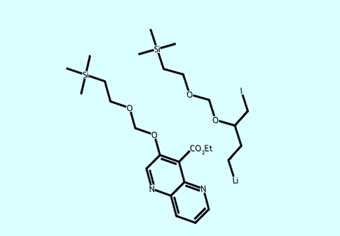 CCOC(=O)c1c(OCOCC[Si](C)(C)C)cnc2cccnc12.[Li][CH2]CC(CI)OCOCC[Si](C)(C)C